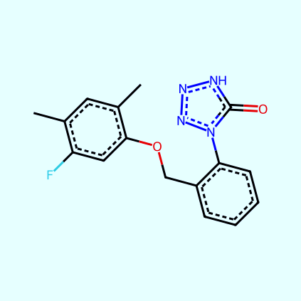 Cc1cc(C)c(OCc2ccccc2-n2nn[nH]c2=O)cc1F